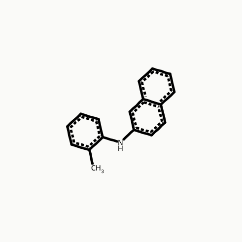 Cc1ccccc1Nc1ccc2ccccc2c1